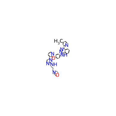 Cc1ccnc(-c2nnc(Nc3ccc(Oc4ncccc4-c4ccnc(NCCCN5CCOCC5)n4)cc3)c3ccccc23)c1